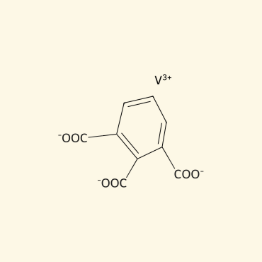 O=C([O-])c1cccc(C(=O)[O-])c1C(=O)[O-].[V+3]